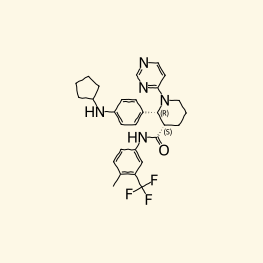 Cc1ccc(NC(=O)[C@H]2CCCN(c3ccncn3)[C@H]2c2ccc(NC3CCCC3)cc2)cc1C(F)(F)F